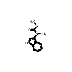 COC(=O)N(N)c1c[nH]c2ccccc12